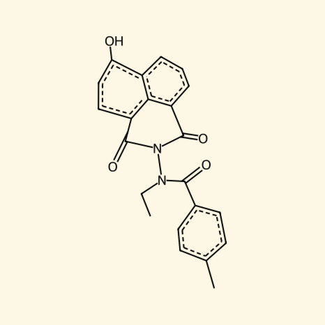 CCN(C(=O)c1ccc(C)cc1)N1C(=O)c2cccc3c(O)ccc(c23)C1=O